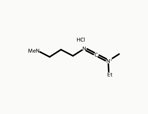 CC[N+](C)=C=NCCCNC.Cl